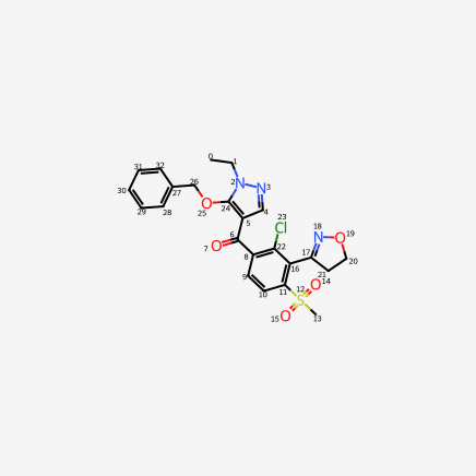 CCn1ncc(C(=O)c2ccc(S(C)(=O)=O)c(C3=NOCC3)c2Cl)c1OCc1ccccc1